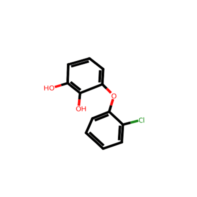 Oc1cccc(Oc2ccccc2Cl)c1O